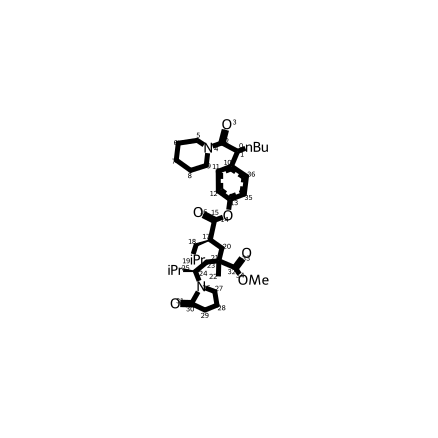 CCCCC(C(=O)N1CCCCC1)c1ccc(OC(=O)[C@H](CC(C)C)CC(C)(C[C@H](C(C)C)N2CCCC2=O)C(=O)OC)cc1